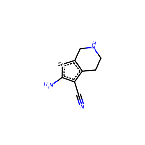 N#Cc1c(N)[se]c2c1CCNC2